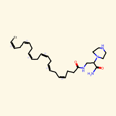 CC/C=C\C/C=C\C/C=C\C/C=C\C/C=C\C/C=C\CCC(=O)NCC(C(N)=O)N1CCNCC1